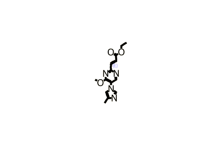 CCOC(=O)/C=C/c1ncc(-n2cnc(C)c2)c(OC)n1